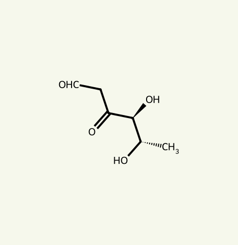 C[C@H](O)[C@H](O)C(=O)CC=O